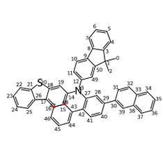 CC1(C)c2ccccc2-c2ccc(N(c3ccc4c(c3)sc3ccccc34)c3cc(-c4ccc5ccccc5c4)ccc3C3=CC=CCC3)cc21